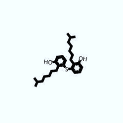 CC(C)CCCCCc1c(O)cccc1Sc1cccc(O)c1CCCCCC(C)C